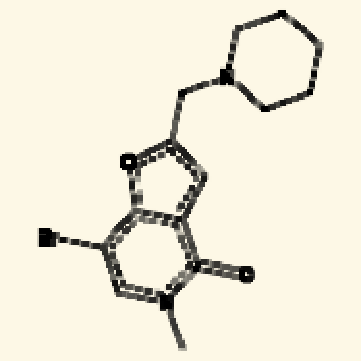 Cn1cc(Br)c2oc(CN3CCCCC3)cc2c1=O